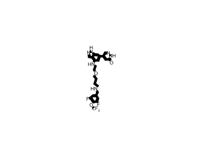 O=c1cc(-c2cc(NCCOCCCCNCc3cc(F)c(OC(F)(F)F)c(F)c3)c3cn[nH]c3c2)cn[nH]1